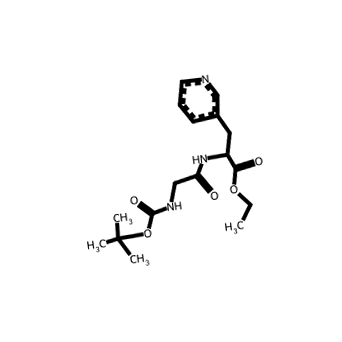 CCOC(=O)C(Cc1cccnc1)NC(=O)CNC(=O)OC(C)(C)C